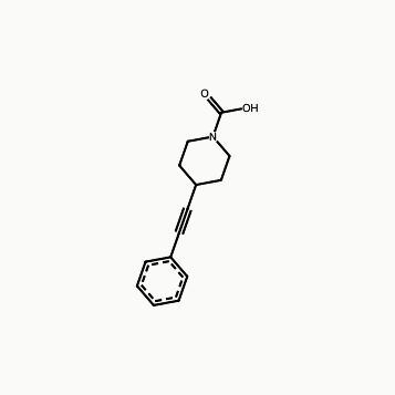 O=C(O)N1CCC(C#Cc2ccccc2)CC1